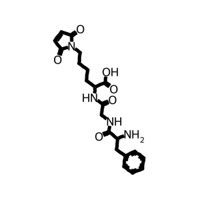 NC(Cc1ccccc1)C(=O)NCC(=O)NC(CCCCN1C(=O)C=CC1=O)C(=O)O